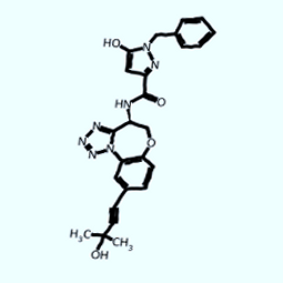 CC(C)(O)C#Cc1ccc2c(c1)-n1nnnc1[C@@H](NC(=O)c1cc(O)n(Cc3ccccc3)n1)CO2